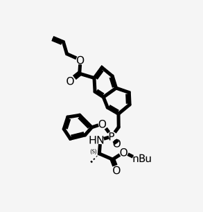 C=CCOC(=O)c1ccc2ccc(CP(=O)(N[C@@H](C)C(=O)OCCCC)Oc3ccccc3)cc2c1